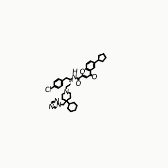 O=C(N[C@H](CCN1CCC(Cn2cncn2)(C2CCCCC2)CC1)Cc1ccc(Cl)cc1)c1cc(=O)c2cc(C3CCCC3)ccc2o1